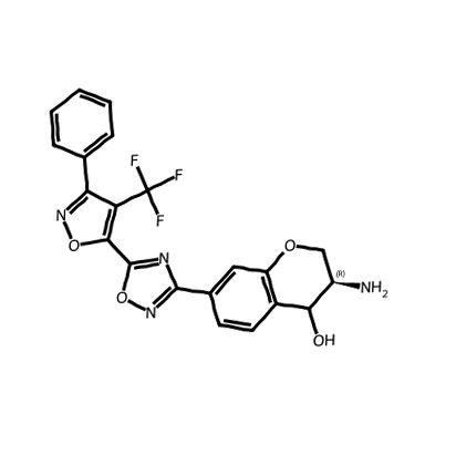 N[C@@H]1COc2cc(-c3noc(-c4onc(-c5ccccc5)c4C(F)(F)F)n3)ccc2C1O